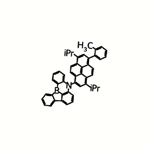 Cc1ccccc1-c1cc(C(C)C)c2ccc3c(N4c5ccccc5B5c6ccccc6-c6cccc4c65)cc(C(C)C)c4ccc1c2c43